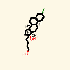 C[C@]12CC[C@@H]3c4ccc(F)cc4CC[C@H]3[C@@H]1CC[C@@]2(O)CCCCO